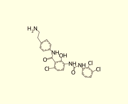 NCCc1ccc(NC(=O)c2c(Cl)ccc(NC(=O)Nc3cccc(Cl)c3Cl)c2O)cc1